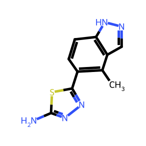 Cc1c(-c2nnc(N)s2)ccc2[nH]ncc12